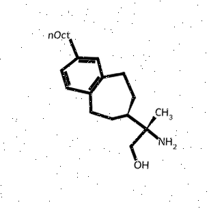 CCCCCCCCc1ccc2c(c1)CC[C@@H]([C@](C)(N)CO)CC2